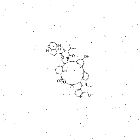 CCn1c(-c2cccnc2[C@H](C)OC)c2c3cc(ccc31)-c1cc(O)cc(c1)C[C@H](NC(=O)[C@H](C(C)C)N(C)C(=O)[C@H]1CC[C@H]3OCCN[C@@H]13)C(=O)N1CCC[C@@](C3=CS3)(N1)C(=O)OCC(C)(C)C2